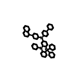 c1ccc(-c2ccc(N(c3ccc(-c4cccc5ccccc45)cc3)c3ccc4c(c3)N(c3ccccc3)c3ccccc3[Si]4(c3ccccc3)c3ccccc3)cc2)cc1